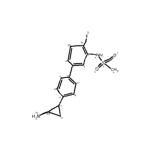 CS(=O)(=O)Nc1cc(-c2ccc(C3CC3N)cc2)ccc1F